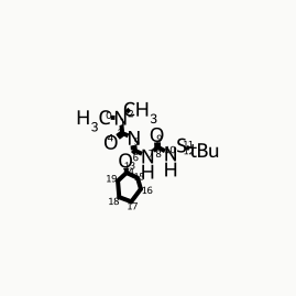 CN(C)C(=O)N=C(NC(=O)NSC(C)(C)C)OC1CCCCC1